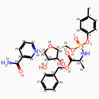 Cc1ccc(OP(=O)(N[C@@H](C)C(=O)OCc2ccccc2)OC[C@H]2O[C@@H]([n+]3cccc(C(N)=O)c3)[C@@H](O)C2O)cc1